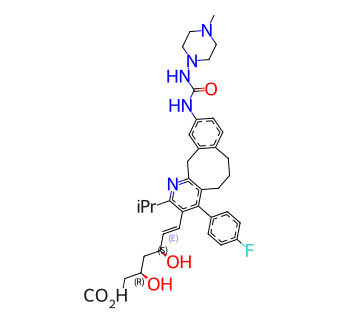 CC(C)c1nc2c(c(-c3ccc(F)cc3)c1/C=C/[C@@H](O)C[C@@H](O)CC(=O)O)CCCc1ccc(NC(=O)NN3CCN(C)CC3)cc1C2